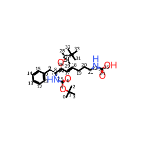 CC(C)(C)OC(=O)N[C@@H](Cc1ccccc1)[C@@H](C=CCCCNC(=O)O)O[Si](C)(C)C(C)(C)C